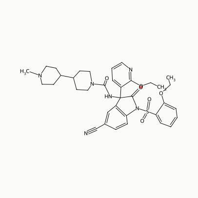 CCOc1ccccc1S(=O)(=O)N1C(=O)C(NC(=O)N2CCC(C3CCN(C)CC3)CC2)(c2cccnc2OCC)c2cc(C#N)ccc21